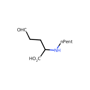 CCCCCNC(CCC=O)C(=O)O